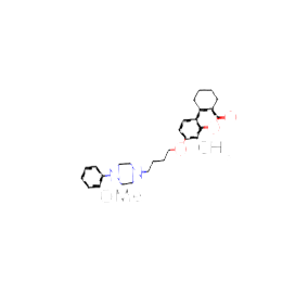 COc1ccccc1N1CCN(CCCCOc2ccc3c4c(c(=O)oc3c2C)CCCC4)CC1